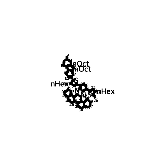 CCCCCCCCC1(CCCCCCCC)c2cc(C)ccc2-c2ccc(-c3sc(-c4ccc(-c5cc(CCCCCC)c(C)s5)c5nc(-c6cccc7ccccc67)c(-c6cccc7ccccc67)nc45)cc3CCCCCC)cc21